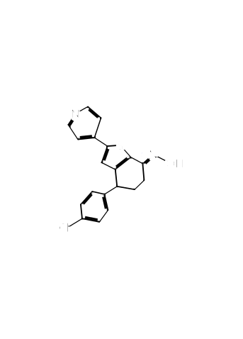 O/N=C1\CCC(c2ccc(Cl)cc2)c2cc(-c3ccncc3)sc21